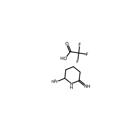 CCCC1CCCC(=N)N1.O=C(O)C(F)(F)F